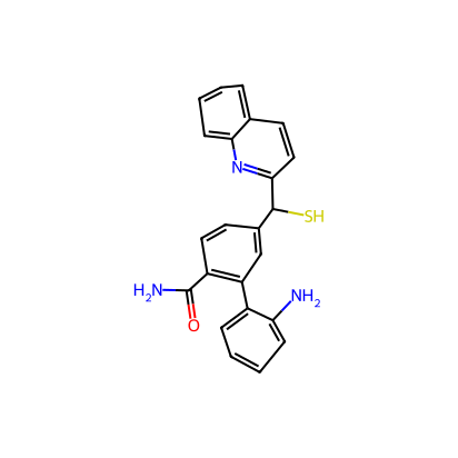 NC(=O)c1ccc(C(S)c2ccc3ccccc3n2)cc1-c1ccccc1N